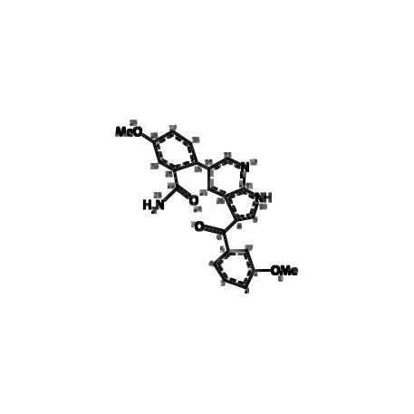 COc1cccc(C(=O)c2c[nH]c3ncc(-c4ccc(OC)cc4C(N)=O)cc23)c1